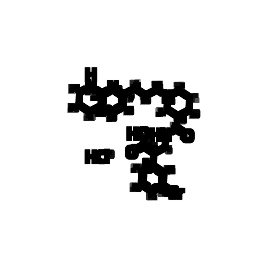 Cl.O=C(O)C(CNC(=O)[C@@H]1CCCN(CCCc2ccc3c(n2)NCCC3)C1)c1cccc(Br)c1